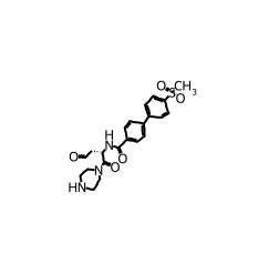 CS(=O)(=O)c1ccc(-c2ccc(C(=O)N[C@@H](CC=O)C(=O)N3CCNCC3)cc2)cc1